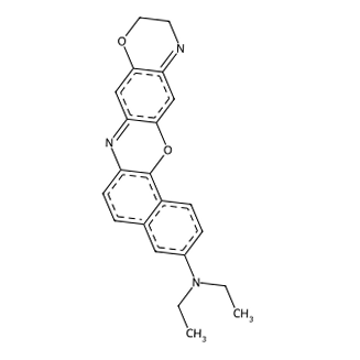 CCN(CC)c1ccc2c3c(ccc2c1)N=c1cc2c(cc1O3)=NCCO2